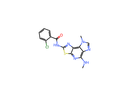 CNc1nc2sc(NC(=O)c3ccccc3Cl)nc2c2c1ncn2C